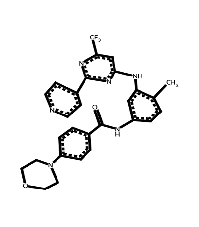 Cc1ccc(NC(=O)c2ccc(N3CCOCC3)cc2)cc1Nc1cc(C(F)(F)F)nc(-c2ccncc2)n1